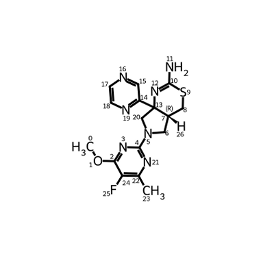 COc1nc(N2C[C@H]3CSC(N)=NC3(c3cnccn3)C2)nc(C)c1F